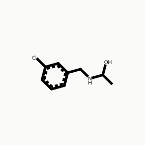 CC(O)NCc1cccc(Cl)c1